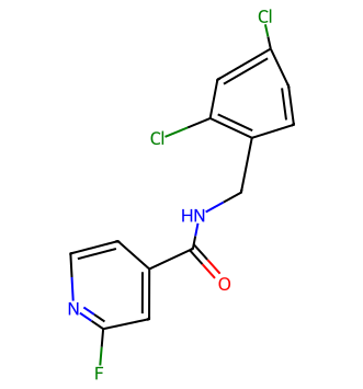 O=C(NCc1ccc(Cl)cc1Cl)c1ccnc(F)c1